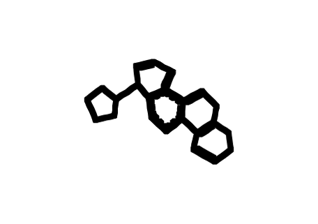 C1=CC(C2CCCC2)c2ccc3c(c2=C1)=CCC1=C3C=CCC1